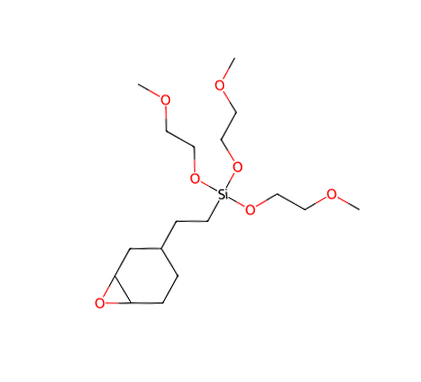 COCCO[Si](CCC1CCC2OC2C1)(OCCOC)OCCOC